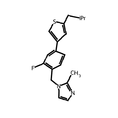 Cc1nccn1Cc1ccc(-c2csc(CC(C)C)c2)cc1F